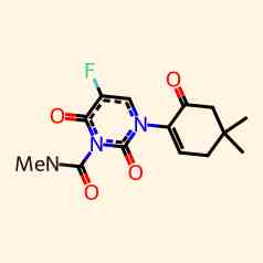 CNC(=O)n1c(=O)c(F)cn(C2=CCC(C)(C)CC2=O)c1=O